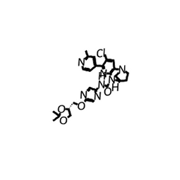 Cc1cc(-c2nc3c(cc2Cl)N2CC[C@@H](C2)N3C(=O)Nc2cnc(OC[C@@H]3COC(C)(C)O3)cn2)ccn1